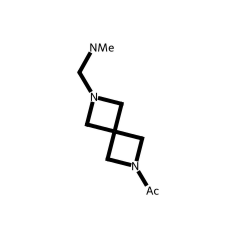 CNCN1CC2(C1)CN(C(C)=O)C2